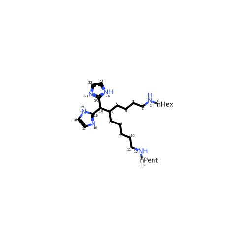 CCCCCCNCCCCC(CCCCCNCCCCC)C(C1=NC=C[N]1)c1ncc[nH]1